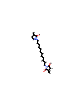 C=C1CCN(CCCCCCCCCCCCN2C(=O)CC(=C)C2=O)C1=O